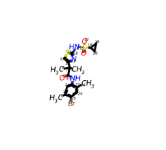 Cc1cc(NC(=O)C(C)(C)c2csc(NS(=O)(=O)C3CC3)n2)c(C)cc1Br